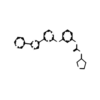 O=C(Nc1cccc(Nc2nccc(-c3cnc(-c4cccnc4)[nH]3)n2)c1)OC1CCOC1